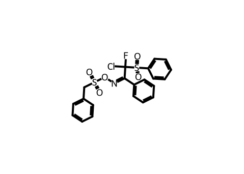 O=S(=O)(Cc1ccccc1)ON=C(c1ccccc1)C(F)(Cl)S(=O)(=O)c1ccccc1